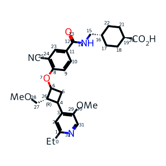 CCc1cc(C2CC(Oc3ccc(C(=O)NC[C@H]4CC[C@H](C(=O)O)CC4)cc3C#N)[C@H]2COC)c(OC)cn1